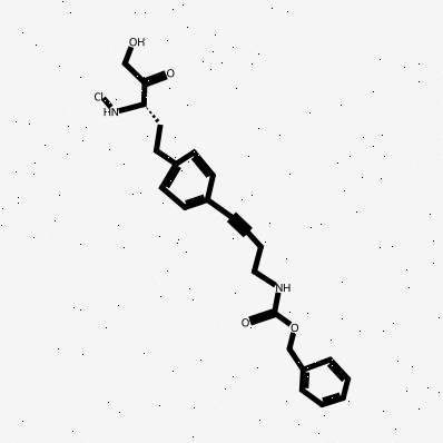 O=C(NCCC#Cc1ccc(CC[C@H](NCl)C(=O)CO)cc1)OCc1ccccc1